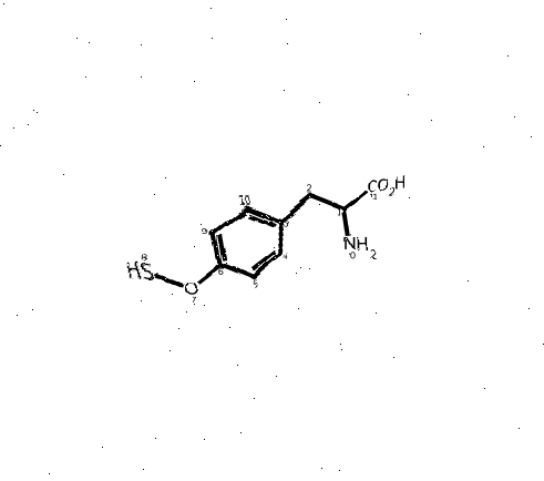 NC(Cc1ccc(OS)cc1)C(=O)O